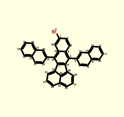 Brc1ccc2c(-c3ccc4ccccc4c3)c3c(c(-c4ccc5ccccc5c4)c2c1)-c1cccc2cccc-3c12